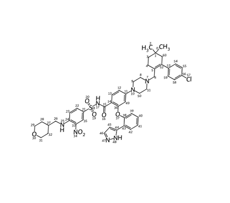 CC1(C)CCC(CN2CCN(c3ccc(C(=O)NS(=O)(=O)c4ccc(NCC5CCOCC5)c([N+](=O)[O-])c4)c(Oc4ccccc4-c4ccn[nH]4)c3)CC2)=C(c2ccc(Cl)cc2)C1